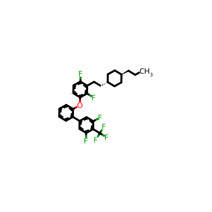 CCC[C@H]1CC[C@H](CCc2c(F)c[c]c(Oc3ccccc3-c3cc(F)c(C(F)(F)F)c(F)c3)c2F)CC1